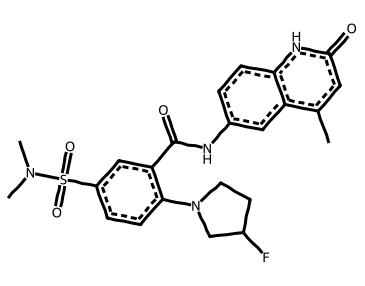 Cc1cc(=O)[nH]c2ccc(NC(=O)c3cc(S(=O)(=O)N(C)C)ccc3N3CCC(F)C3)cc12